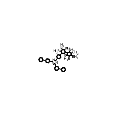 Bc1c(B)c(B)c2c(sc3c(-c4ccc(-c5nc(-c6ccc(-c7ccccc7)cc6)nc(-c6cccc(-c7ccccc7)c6)n5)cc4)c(B)c(B)c(B)c32)c1B